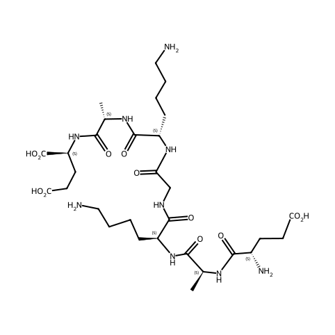 C[C@H](NC(=O)[C@H](CCCCN)NC(=O)CNC(=O)[C@H](CCCCN)NC(=O)[C@H](C)NC(=O)[C@@H](N)CCC(=O)O)C(=O)N[C@@H](CCC(=O)O)C(=O)O